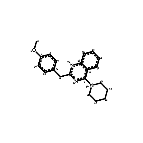 COc1ccc(Cc2nc(N3CCCCC3)c3ccccc3n2)cc1